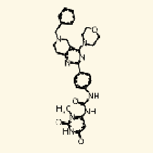 Cn1c(NC(=O)Nc2ccc(-c3nc4c(c(N5CCOCC5)n3)CN(Cc3ccccc3)CC4)cc2)cc(=O)[nH]c1=O